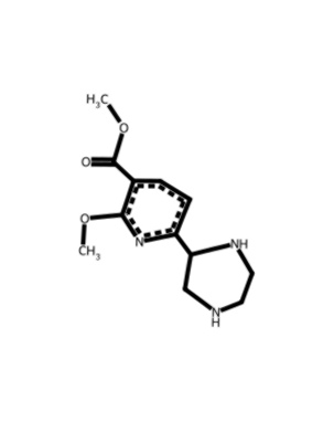 COC(=O)c1ccc(C2CNCCN2)nc1OC